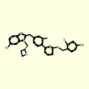 CC(=O)c1ccc2nc(Cc3ccc(-c4cccc(OCc5ccc(C#N)cc5F)n4)c(C)c3)n(C[C@@H]3CCO3)c2c1